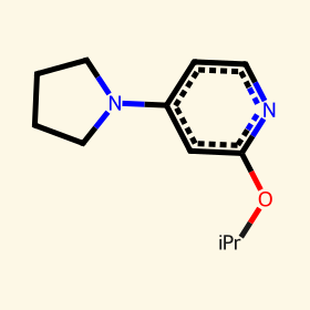 CC(C)Oc1cc(N2CCCC2)ccn1